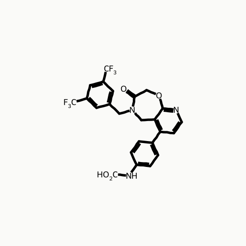 O=C(O)Nc1ccc(-c2ccnc3c2CN(Cc2cc(C(F)(F)F)cc(C(F)(F)F)c2)C(=O)CO3)cc1